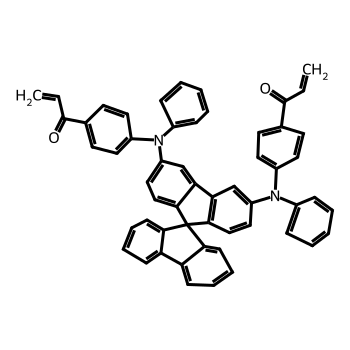 C=CC(=O)c1ccc(N(c2ccccc2)c2ccc3c(c2)-c2cc(N(c4ccccc4)c4ccc(C(=O)C=C)cc4)ccc2C32c3ccccc3-c3ccccc32)cc1